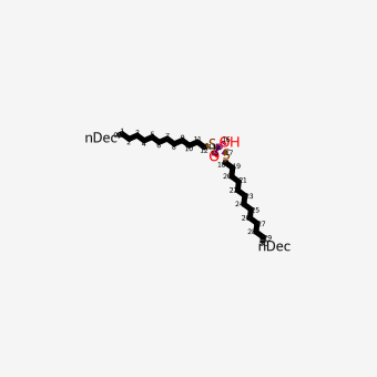 CCCCCCCCCCCCCCCCCCCCCCSP(=O)(O)SCCCCCCCCCCCCCCCCCCCCCC